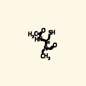 CCN(C=O)[C@H](CS)NC(C)=O